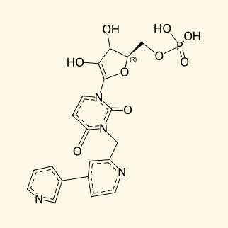 O=c1ccn(C2=C(O)C(O)[C@@H](COP(=O)(O)O)O2)c(=O)n1Cc1cc(-c2cccnc2)ccn1